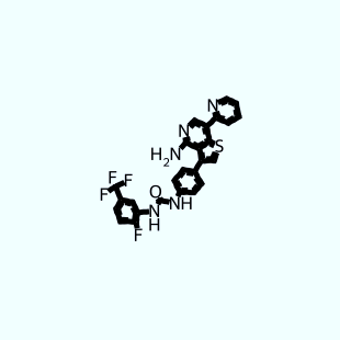 Nc1ncc(-c2ccccn2)c2scc(-c3ccc(NC(=O)Nc4cc(C(F)(F)F)ccc4F)cc3)c12